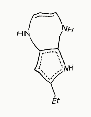 CCc1cc2c([nH]1)NC=CN2